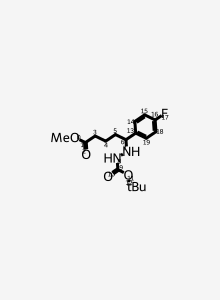 COC(=O)CCCC(NNC(=O)OC(C)(C)C)c1ccc(F)cc1